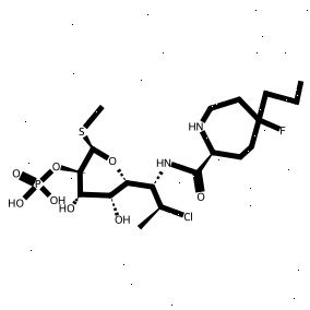 CCCC1(F)CCN[C@H](C(=O)N[C@@H]([C@H]2O[C@H](SC)[C@H](OP(=O)(O)O)[C@@H](O)[C@H]2O)[C@H](C)Cl)CC1